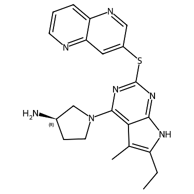 CCc1[nH]c2nc(Sc3cnc4cccnc4c3)nc(N3CC[C@@H](N)C3)c2c1C